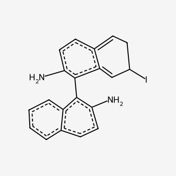 Nc1ccc2c(c1-c1c(N)ccc3ccccc13)=CC(I)CC=2